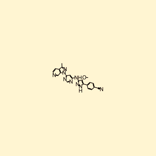 COc1c(Nc2cc(-n3nc(C)c4ccncc43)ncn2)n[nH]c1-c1ccc(C#N)cc1